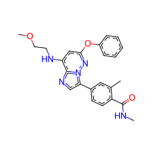 CNC(=O)c1ccc(-c2cnc3c(NCCOC)cc(Oc4ccccc4)nn23)cc1C